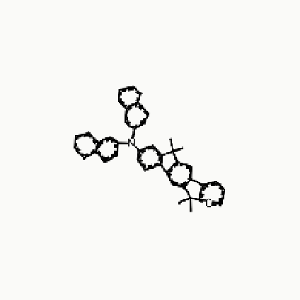 CC1(C)c2ccccc2-c2cc3c(cc21)-c1ccc(N(c2ccc4ccccc4c2)c2ccc4ccccc4c2)cc1C3(C)C